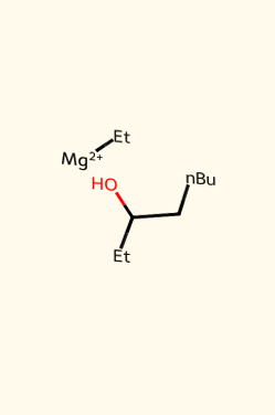 CCCCCC(O)CC.C[CH2][Mg+2]